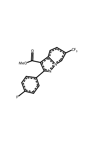 COC(=O)c1c(-c2ccc(F)cc2)nn2cc(C(F)(F)F)ccc12